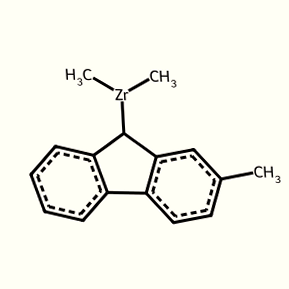 Cc1ccc2c(c1)[CH]([Zr]([CH3])[CH3])c1ccccc1-2